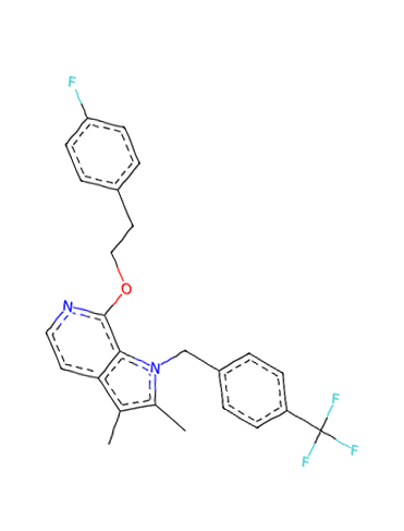 Cc1c(C)n(Cc2ccc(C(F)(F)F)cc2)c2c(OCCc3ccc(F)cc3)nccc12